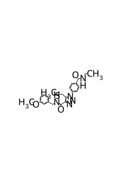 CCNC(=O)c1ccc(-n2nnc(C(=O)NCc3cccc(OC)c3)c2CSC)cc1